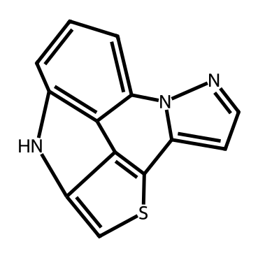 c1cc2[nH]c3csc4c3c2c(c1)n1nccc41